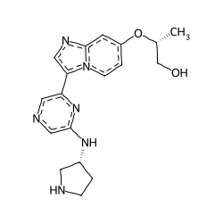 C[C@H](CO)Oc1ccn2c(-c3cncc(N[C@@H]4CCNC4)n3)cnc2c1